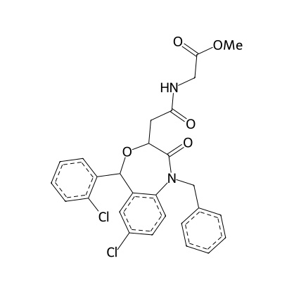 COC(=O)CNC(=O)CC1OC(c2ccccc2Cl)c2cc(Cl)ccc2N(Cc2ccccc2)C1=O